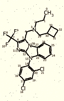 CCCN(Cc1c(C(F)(F)F)nc2n(-c3ccc(Cl)cc3Cl)c3ccccc3n12)CC1CCC1